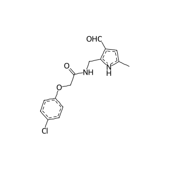 Cc1cc(C=O)c(CNC(=O)COc2ccc(Cl)cc2)[nH]1